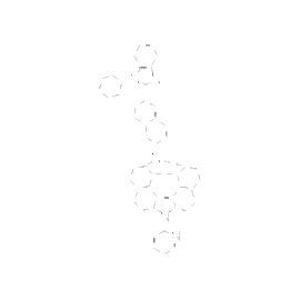 c1ccc(-n2c(-c3ccc4cc(-n5c6ccc7ccc8c9c7c6c6c7c(ccc65)ccc(c79)n8-c5ccccn5)ccc4c3)nc3ccccc32)cc1